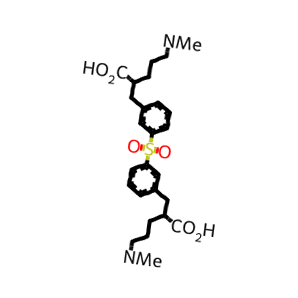 CNCCCC(Cc1cccc(S(=O)(=O)c2cccc(CC(CCCNC)C(=O)O)c2)c1)C(=O)O